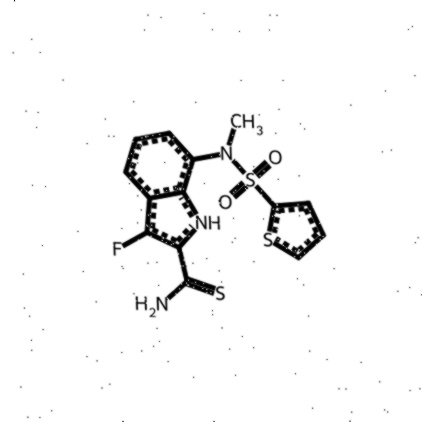 CN(c1cccc2c(F)c(C(N)=S)[nH]c12)S(=O)(=O)c1cccs1